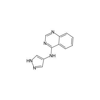 c1ccc2c(Nc3cn[nH]c3)ncnc2c1